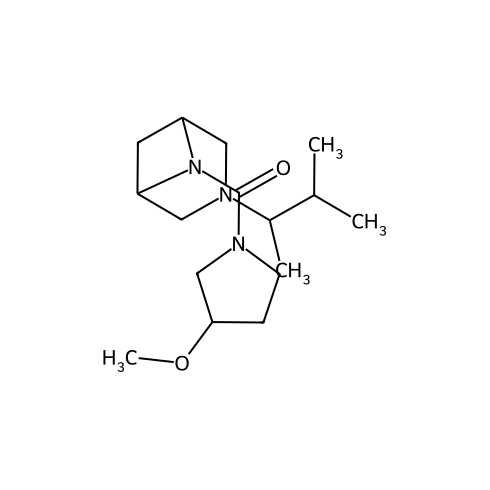 COC1CCN(C(=O)N2C3CC2CN(C(C)C(C)C)C3)C1